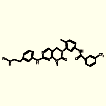 Cc1ccc(NC(=O)c2cccc(C(F)(F)F)c2)cc1N1Cc2cnc(Nc3cccc(CCNC(C)C)c3)nc2N(C)C1=O